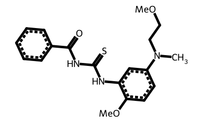 COCCN(C)c1ccc(OC)c(NC(=S)NC(=O)c2ccccc2)c1